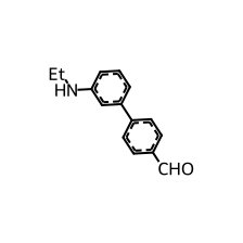 CCNc1cccc(-c2ccc(C=O)cc2)c1